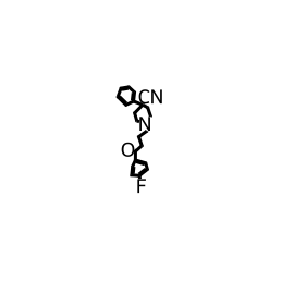 N#CC1(c2ccccc2)CCN(CCCC(=O)c2ccc(F)cc2)CC1